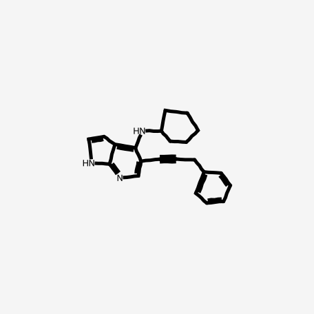 C(#Cc1cnc2[nH]ccc2c1NC1CCCCC1)Cc1ccccc1